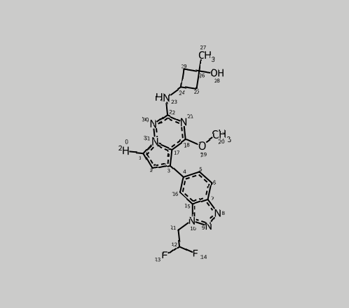 [2H]c1cc(-c2ccc3nnn(CC(F)F)c3c2)c2c(OC)nc(NC3CC(C)(O)C3)nn12